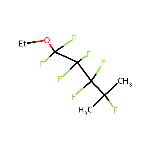 CCOC(F)(F)C(F)(F)C(F)(F)C(C)(C)F